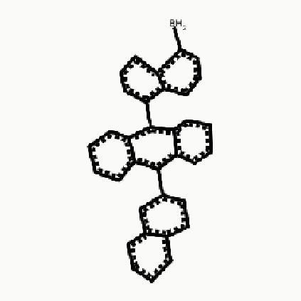 Bc1cccc2c(-c3c4ccccc4c(-c4ccc5ccccc5c4)c4ccccc34)cccc12